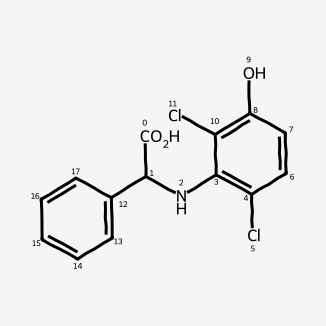 O=C(O)C(Nc1c(Cl)ccc(O)c1Cl)c1ccccc1